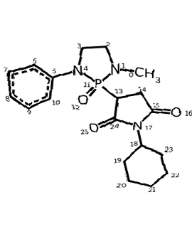 CN1CCN(c2ccccc2)P1(=O)C1CC(=O)N(C2CCCCC2)C1=O